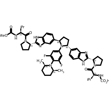 COC(=O)N[C@H](C(=O)N1CCC[C@H]1c1nc2cc([C@H]3CC[C@H](c4ccc5[nH]c([C@@H]6CCCN6C(=O)[C@@H](NC(=O)O)C(C)C)nc5c4)N3c3cc(F)c(N4[C@H](C)CCC[C@@H]4C)c(F)c3)ccc2[nH]1)C(C)C